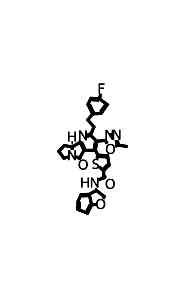 Cc1nnc(-c2c(CCc3ccc(F)cc3)nc3c(c2-c2ccc(C(=O)N[C@@H]4COc5ccccc54)s2)C(=O)N2CCC[C@@H]32)o1